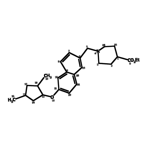 CCOC(=O)C1CCN(Cc2ccc3cc(OC4CC(C)CC4C)ccc3c2)CC1